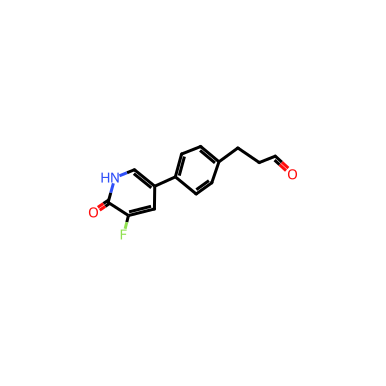 O=CCCc1ccc(-c2c[nH]c(=O)c(F)c2)cc1